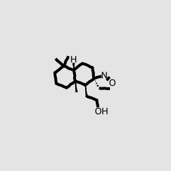 CC[C@@]1(N=O)CC[C@H]2C(C)(C)CCC[C@@]2(C)[C@@H]1CCO